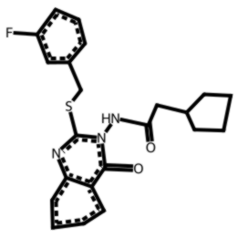 O=C(CC1CCCC1)Nn1c(SCc2cccc(F)c2)nc2ccccc2c1=O